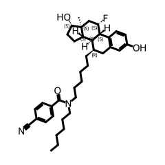 CCCCCCN(CCCCCC[C@@H]1Cc2cc(O)ccc2[C@@H]2[C@@H]1[C@@H]1CC[C@H](O)[C@@]1(C)C[C@@H]2F)C(=O)c1ccc(C#N)cc1